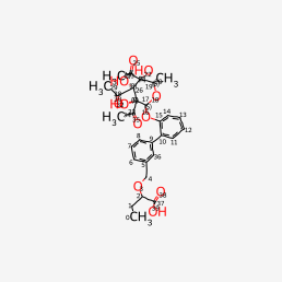 CCC(OCc1cccc(-c2ccccc2O[C@@H]2O[C@@H](C)[C@](O)(C(C)=O)[C@](O)(C(C)=O)[C@@]2(O)C(C)=O)c1)C(=O)O